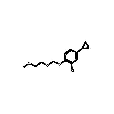 COCCOCOc1ccc(C2CO2)cc1Cl